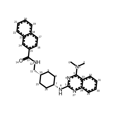 CN(C)c1nc(N[C@H]2CC[C@@H](CNC(=O)c3ccc4ccccc4c3)CC2)nc2ccccc12